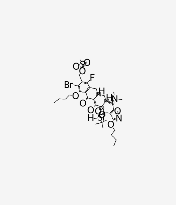 CCCCOc1noc2c1C(=O)[C@@]1(O[Si](C)(C)C(C)(C)C)C(O)=C3C(=O)c4c(c(F)c(COS(C)(=O)=O)c(Br)c4OCCCC)C[C@H]3C[C@H]1[C@@H]2N(C)C